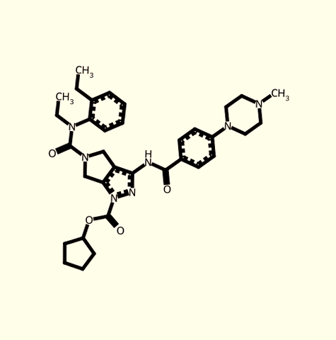 CCc1ccccc1N(CC)C(=O)N1Cc2c(NC(=O)c3ccc(N4CCN(C)CC4)cc3)nn(C(=O)OC3CCCC3)c2C1